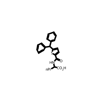 CCCC(NC(=O)c1ccc(C(c2ccccc2)c2ccccc2)s1)C(=O)O